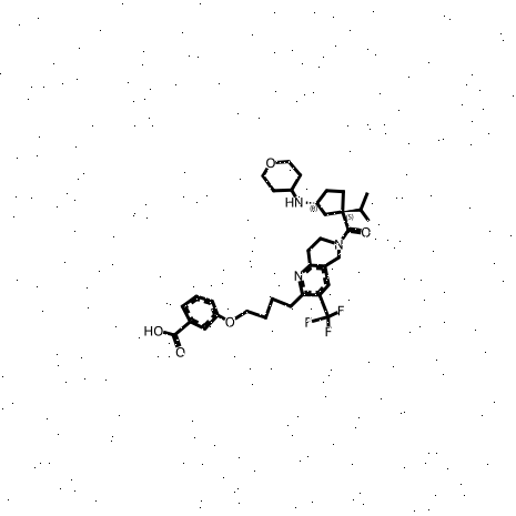 CC(C)[C@]1(C(=O)N2CCc3nc(CCCCOc4cccc(C(=O)O)c4)c(C(F)(F)F)cc3C2)CC[C@@H](NC2CCOCC2)C1